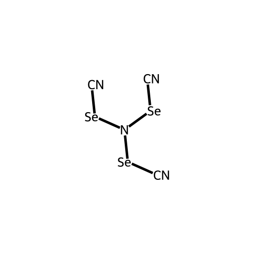 N#C[Se]N([Se]C#N)[Se]C#N